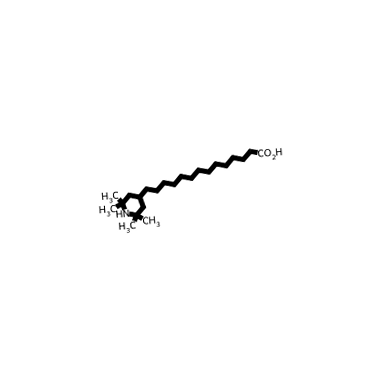 CC1(C)CC(CCCCCCCCCCCCCC(=O)O)CC(C)(C)N1